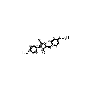 O=C(O)c1ccc(/C=C2\SC(=S)N(c3ccc(C(F)(F)F)cc3)C2=O)cc1